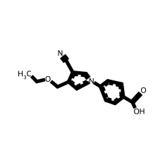 CCOCc1cn(-c2ccc(C(=O)O)cc2)cc1C#N